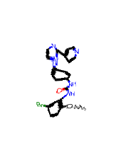 COc1ccc(Br)cc1NC(=O)Nc1ccc(-n2ccnc2-c2ccncc2)cc1